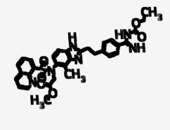 CCOC(=O)NC(=N)c1ccc(CCc2nc3c(C)c(N(CC(=O)OC)S(=O)(=O)c4cccc5cccnc45)ccc3[nH]2)cc1